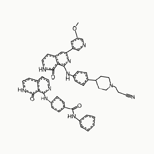 COc1cncc(-c2cc3cc[nH]c(=O)c3c(Nc3ccc(C4CCN(CCC#N)CC4)cc3)n2)c1.O=C(Nc1ccccc1)c1ccc(Nc2nccc3cc[nH]c(=O)c23)cc1